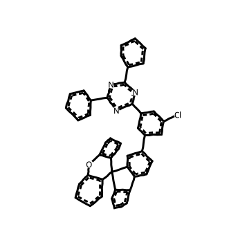 Clc1cc(-c2ccc3c(c2)C2(c4ccccc4Oc4ccccc42)c2ccccc2-3)cc(-c2nc(-c3ccccc3)nc(-c3ccccc3)n2)c1